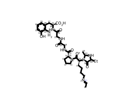 C/C=N/CCCC[C@@H](C(=O)N1CCC[C@H]1C(=O)NCC(=O)NCC(=O)N[C@@H](Cc1cccc(O)c1N)C(=O)O)N1C(=O)C(CC)NC1C